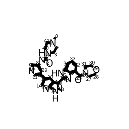 CN1CCN(C(=O)Nc2cncc(-c3cnc4[nH]nc(-c5nc6c(C(=O)N7CCOCC7)cccc6[nH]5)c4c3)c2)CC1